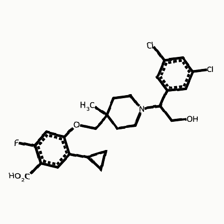 CC1(COc2cc(F)c(C(=O)O)cc2C2CC2)CCN(C(CO)c2cc(Cl)cc(Cl)c2)CC1